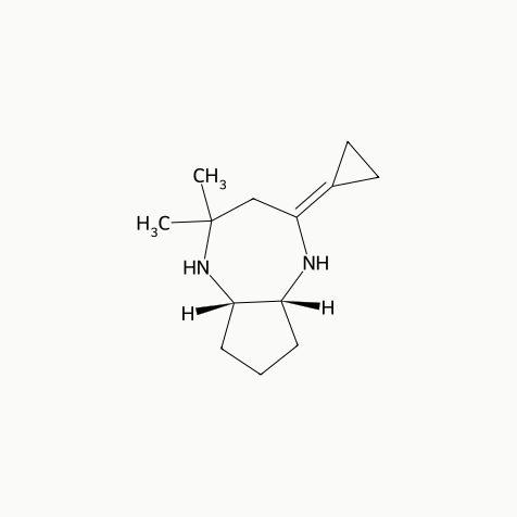 CC1(C)CC(=C2CC2)N[C@@H]2CCC[C@@H]2N1